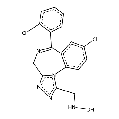 ONCc1nnc2n1-c1ccc(Cl)cc1C(c1ccccc1Cl)=NC2